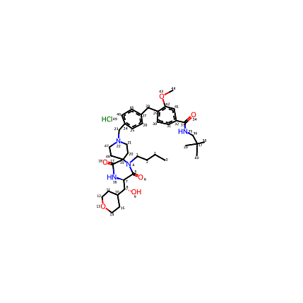 CCCCN1C(=O)[C@@H]([C@H](O)C2CCOCC2)NC(=O)C12CCN(Cc1ccc(Cc3ccc(C(=O)NCC(C)(C)C)cc3OC)cc1)CC2.Cl